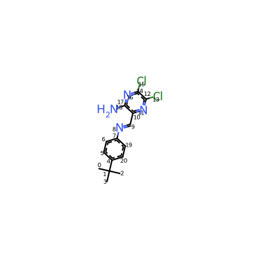 CC(C)(C)c1ccc(N=Cc2nc(Cl)c(Cl)nc2N)cc1